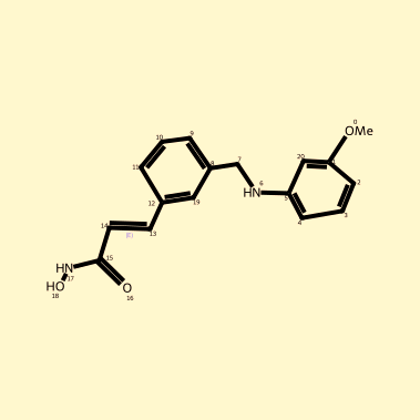 COc1cccc(NCc2cccc(/C=C/C(=O)NO)c2)c1